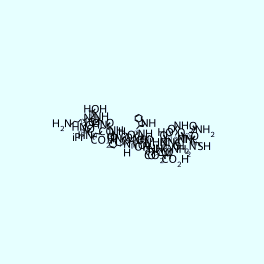 CC(C)C[C@H](NC(=O)[C@H](CCCCN)NC(=O)[C@@H](NC(=O)CNC(=O)CNC(=O)CNC(=O)[C@H](Cc1ccccc1)NC(=O)[C@@H](NC(=O)[C@H](Cc1c[nH]c2ccccc12)NC(=O)[C@@H]1CCCN1C(=O)[C@H](CC(=O)O)NC(=O)[C@H](CCC(=O)O)NC(=O)[C@H](CC(N)=O)NC(=O)[C@H](CO)NC(=O)[C@H](CCC(N)=O)NC(=O)[C@H](CCC(N)=O)NC(=O)[C@@H](N)CS)[C@@H](C)O)[C@@H](C)O)C(=O)N[C@@H](CCC(=O)O)C(=O)O